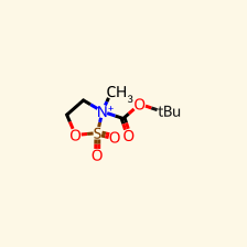 CC(C)(C)OC(=O)[N+]1(C)CCOS1(=O)=O